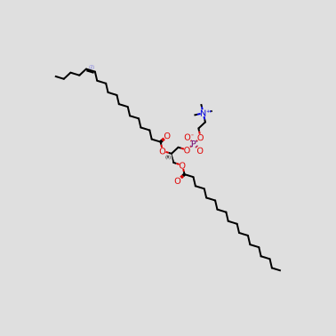 CCCC/C=C\CCCCCCCCCCCC(=O)O[C@H](COC(=O)CCCCCCCCCCCCCCCCC)COP(=O)([O-])OCC[N+](C)(C)C